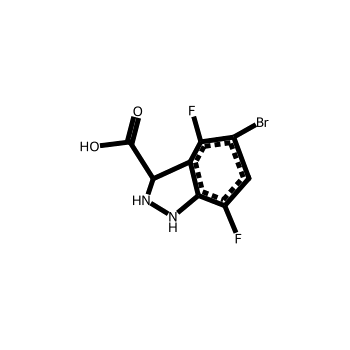 O=C(O)C1NNc2c(F)cc(Br)c(F)c21